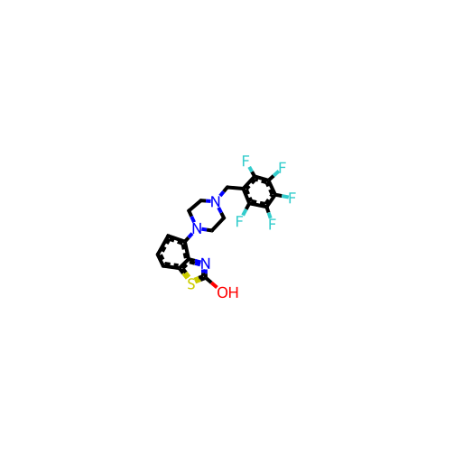 Oc1nc2c(N3CCN(Cc4c(F)c(F)c(F)c(F)c4F)CC3)cccc2s1